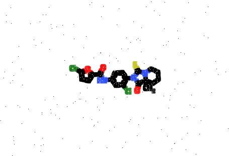 CC12CCCCN1C(=S)N(c1ccc(NC(=O)c3ccc(Cl)o3)cc1Cl)C2=O